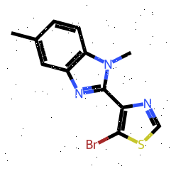 Cc1ccc2c(c1)nc(-c1ncsc1Br)n2C